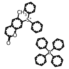 Cc1cc2ccc(=O)oc2cc1[S+](c1ccccc1)c1ccccc1.c1ccc([B-](c2ccccc2)(c2ccccc2)c2ccccc2)cc1